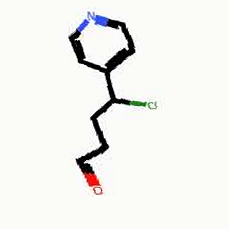 O=CCCC(Cl)c1ccncc1